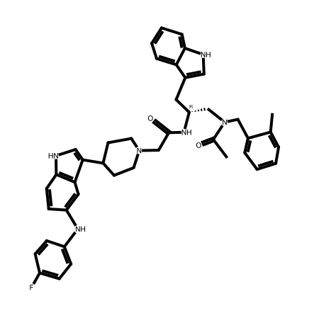 CC(=O)N(Cc1ccccc1C)C[C@@H](Cc1c[nH]c2ccccc12)NC(=O)CN1CCC(c2c[nH]c3ccc(Nc4ccc(F)cc4)cc23)CC1